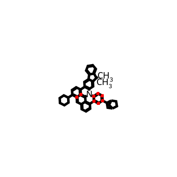 CC1(C)c2ccccc2-c2cc(-c3ccc(C4CCCCC4)cc3)c(N(c3ccc(C4CC5CCC4C5)cc3)c3cccc4cccc(C5CCCCC5)c34)cc21